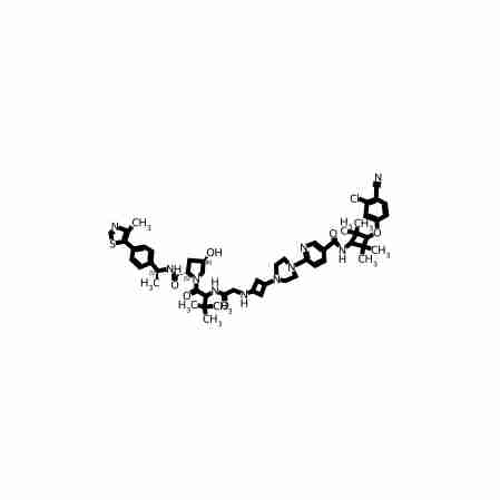 Cc1ncsc1-c1ccc([C@H](C)NC(=O)[C@@H]2C[C@@H](O)CN2C(=O)C(NC(=O)CNC2CC(N3CCN(c4ccc(C(=O)NC5C(C)(C)C(Oc6ccc(C#N)c(Cl)c6)C5(C)C)cn4)CC3)C2)C(C)(C)C)cc1